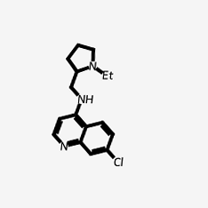 CCN1CCCC1CNc1ccnc2cc(Cl)ccc12